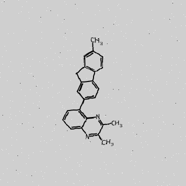 Cc1ccc2c(c1)Cc1cc(-c3cccc4nc(C)c(C)nc34)ccc1-2